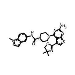 Cn1ccc2cc(NC(=O)N3CCN(c4nc(N)nc5scc(C6=NC(C)(C)CO6)c45)CC3)ccc21